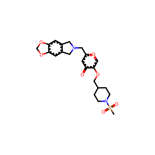 CS(=O)(=O)N1CCC(COc2coc(CN3Cc4cc5c(cc4C3)OCO5)cc2=O)CC1